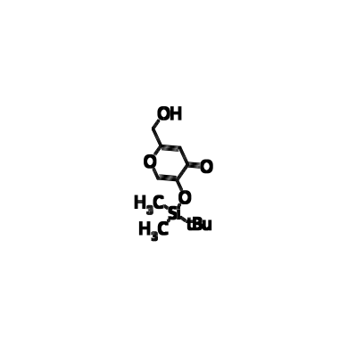 CC(C)(C)[Si](C)(C)Oc1coc(CO)cc1=O